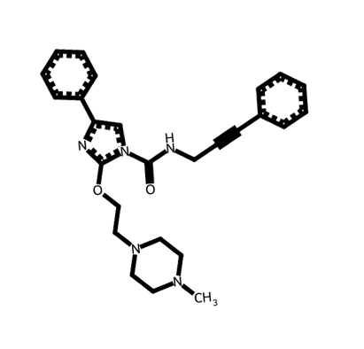 CN1CCN(CCOc2nc(-c3ccccc3)cn2C(=O)NCC#Cc2ccccc2)CC1